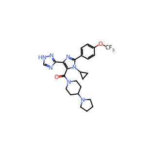 O=C(c1c(-c2nc[nH]n2)nc(-c2ccc(OC(F)(F)F)cc2)n1C1CC1)N1CCC(N2CCCC2)CC1